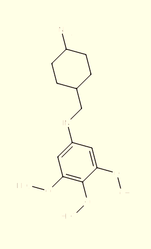 COc1cc(NCC2CCC(N)CC2)cc(OC)c1OC